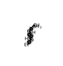 CBCc1ccc(C(=O)Nc2cccc3c(NC(=O)c4ccc(CC)cc4)cccc23)cc1